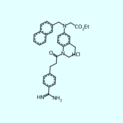 CCOC(=O)CN(Cc1ccc2ccccc2c1)c1ccc2c(c1)CCCN2C(=O)CCc1ccc(C(=N)N)cc1.Cl